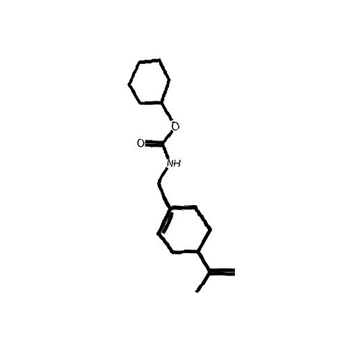 C=C(C)C1CC=C(CNC(=O)OC2CCCCC2)CC1